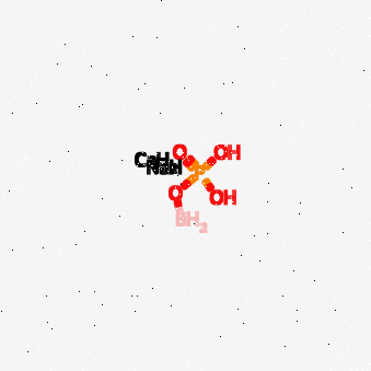 BOP(=O)(O)O.[CaH2].[NaH]